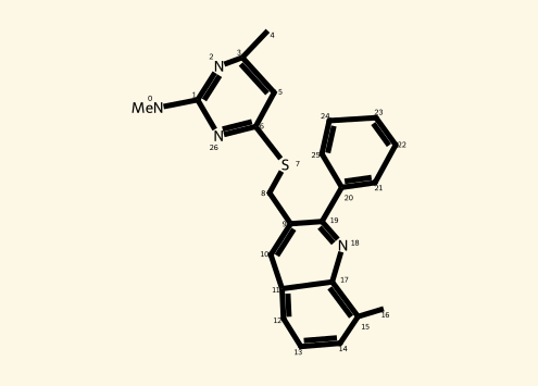 CNc1nc(C)cc(SCc2cc3cccc(C)c3nc2-c2ccccc2)n1